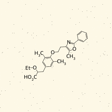 CCOC(Cc1cc(C)c(OCCc2nc(-c3ccccc3)oc2C)c(C)c1)C(=O)O